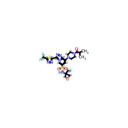 CC(C)C(=O)N1CCN(c2cc(S(=O)(=O)NC3(CF)COC3)cn3c(-c4nnc(C(F)F)s4)nnc23)CC1